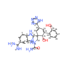 N=C(N)c1ccc2[nH]c(C3(CNC(N)=O)C=C(c4nnn[nH]4)C=C(c4ccccc4O)C3O)nc2c1